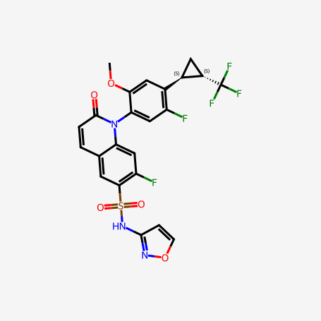 COc1cc([C@H]2C[C@@H]2C(F)(F)F)c(F)cc1-n1c(=O)ccc2cc(S(=O)(=O)Nc3ccon3)c(F)cc21